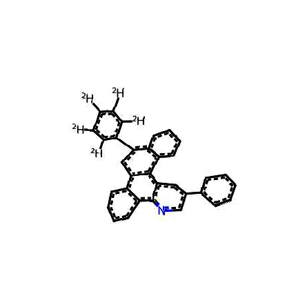 [2H]c1c([2H])c([2H])c(-c2cc3c4ccccc4c4ncc(-c5ccccc5)cc4c3c3ccccc23)c([2H])c1[2H]